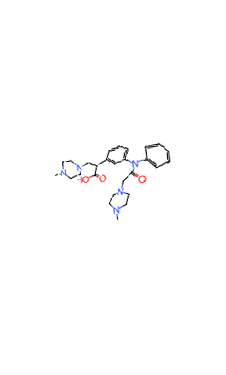 CN1CCN(CC(=O)N(c2ccccc2)c2cccc(C(CN3CCN(C)CC3)C(=O)O)c2)CC1